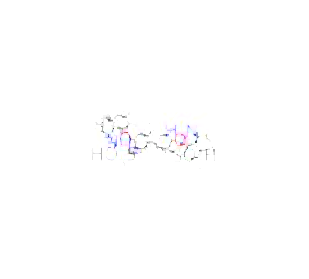 Nc1cccc2cccc(Oc3cc4c(cc3S(=O)(=O)O)-c3cc(S(=O)(=O)O)c(Oc5cccc6cccc(N)c56)cc3C4)c12